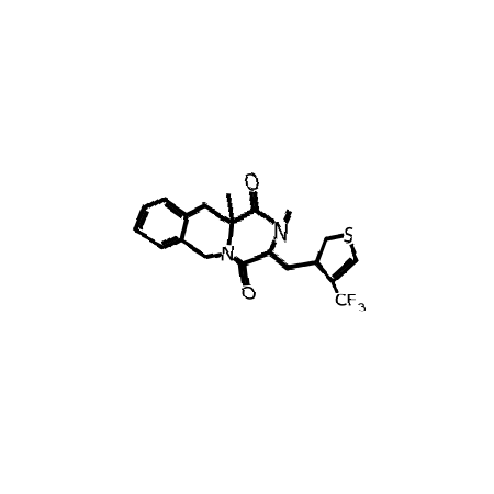 CN1C(=O)C2(C)Cc3ccccc3CN2C(=O)C1CC1CSC=C1C(F)(F)F